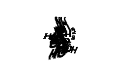 CC(C)(CNC(=O)c1ccc(F)c(B(O)O)c1F)N(CC(N)=O)Cc1ccc2c(c1)BOC2